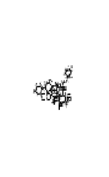 O=C(O)c1ccccc1-c1ccc(CN(CCCc2ccccc2)C(=O)c2c(F)c(F)c(F)c(F)c2F)cc1